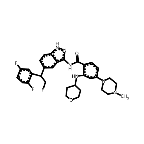 CN1CCN(c2ccc(C(=O)Nc3n[nH]c4ccc(C(CF)c5cc(F)ccc5F)cc34)c(NC3CCOCC3)c2)CC1